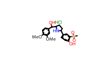 COc1ccc(C(O)C2CCC(c3ccc(O)c(S(C)(=O)=O)c3)N2)cc1OC.Cl